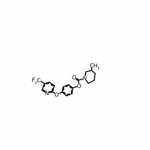 CC1CCCN(C(=O)Oc2ccc(Oc3ccc(C(F)(F)F)cn3)cc2)C1